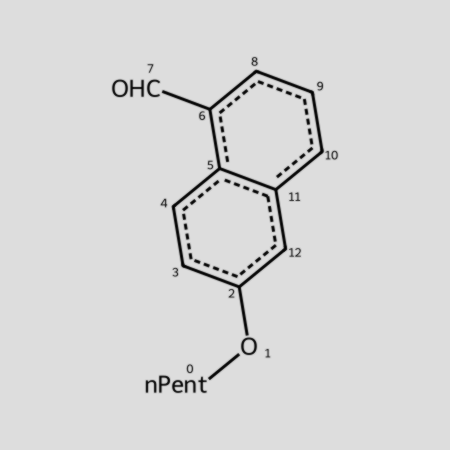 CCCCCOc1ccc2c(C=O)cccc2c1